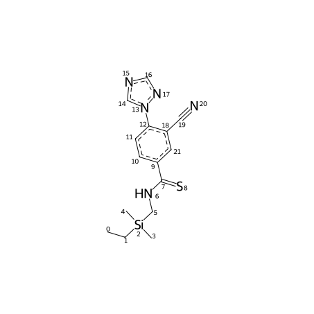 CC[Si](C)(C)CNC(=S)c1ccc(-n2cncn2)c(C#N)c1